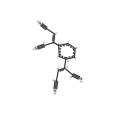 N#CC=C(C#N)c1cccc(C(C#N)=CC#N)c1